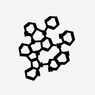 c1ccc(N2c3cccnc3B3c4c2cc(N(c2ccccn2)c2ccccn2)cc4-n2c4c3cccc4c3c4cccnc4n(-c4ccccn4)c32)cc1